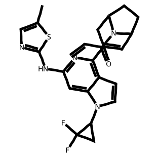 C=CC(=O)N1C2C=C(c3nc(Nc4ncc(C)s4)cc4c3ccn4C3CC3(F)F)CC1CC2